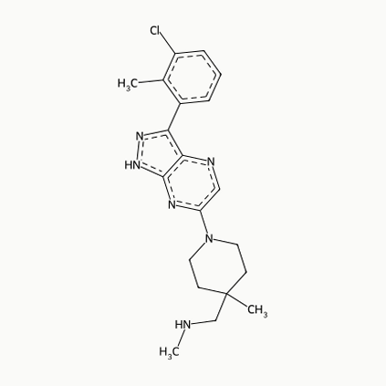 CNCC1(C)CCN(c2cnc3c(-c4cccc(Cl)c4C)n[nH]c3n2)CC1